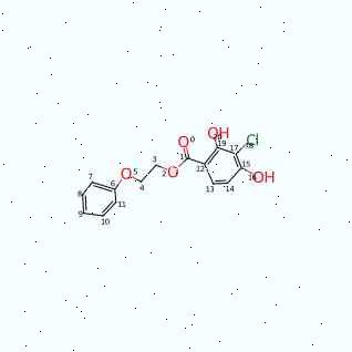 O=C(OCCOc1ccccc1)c1ccc(O)c(Cl)c1O